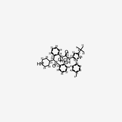 Cc1ccc(-n2nc(C(C)(C)C)cc2NC(=O)Nc2ccccc2C(C2CCNCC2)S(=O)(=O)c2ccccc2Cl)cc1